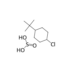 CC(C)(C)C1CCC(Cl)CC1.O=S(O)O